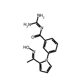 CC(=NO)c1cccn1-c1cccc(C(=O)N=C(N)N)c1